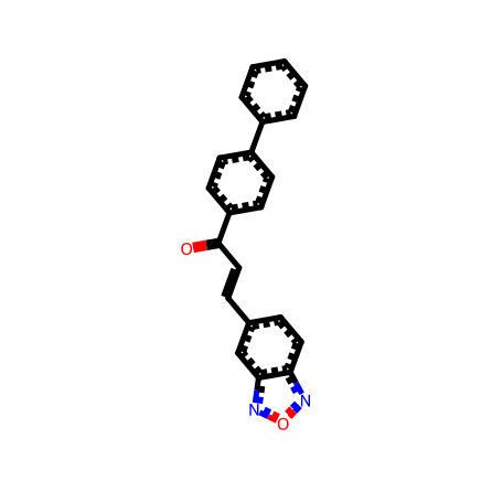 O=C(C=Cc1ccc2nonc2c1)c1ccc(-c2ccccc2)cc1